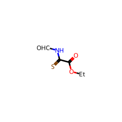 CCOC(=O)C(=S)NC=O